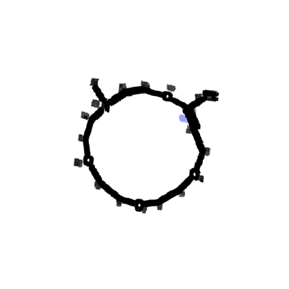 CC/C1=C\COCCOCCOCCN(C)CCO1